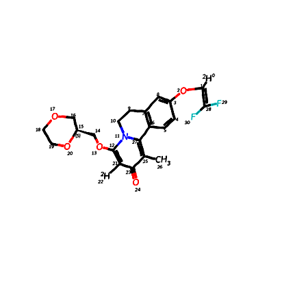 [2H]C(Oc1ccc2c(c1)CCn1c(OC[C@@H]3COCCO3)c([2H])c(=O)c(C)c1-2)=C(F)F